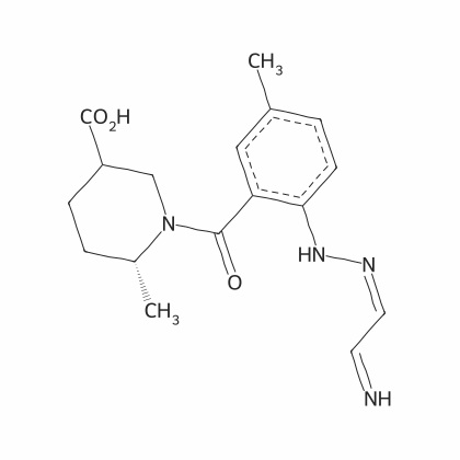 Cc1ccc(N/N=C\C=N)c(C(=O)N2CC(C(=O)O)CC[C@H]2C)c1